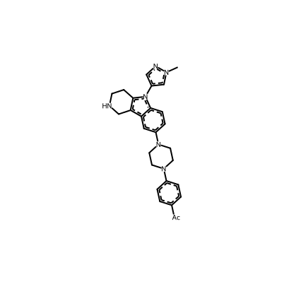 CC(=O)c1ccc(N2CCN(c3ccc4c(c3)c3c(n4-c4cnn(C)c4)CCNC3)CC2)cc1